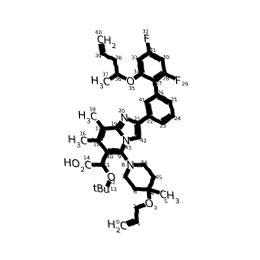 C=CCOC1(C)CCN(c2c(C(OC(C)(C)C)C(=O)O)c(C)c(C)c3nc(-c4cccc(-c5c(F)cc(F)cc5OC(C)CC=C)c4)cn23)CC1